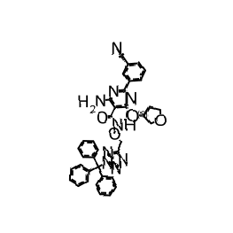 N#Cc1cccc(-c2nc(N)c(C(=O)NOCc3nnn(C(c4ccccc4)(c4ccccc4)c4ccccc4)n3)c(O[C@H]3CCOC3)n2)c1